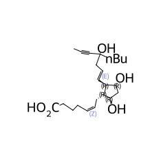 CC#CC(O)(C/C=C/[C@@H]1[C@@H](C/C=C\CCCC(=O)O)[C@H](O)C[C@H]1O)CCCC